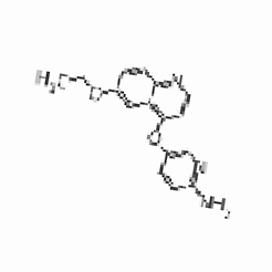 CCOc1ccc2nccc(Oc3ccc(N)nc3)c2c1